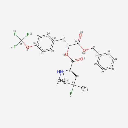 CN[C@H](CC(C)(C)F)C(=O)O[C@H](Cc1ccc(OC(F)(F)F)cc1)C(=O)OCc1ccccc1